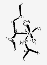 COC[CH](OC)[Ta]([Cl])([Cl])([Cl])[NH]C(C)C